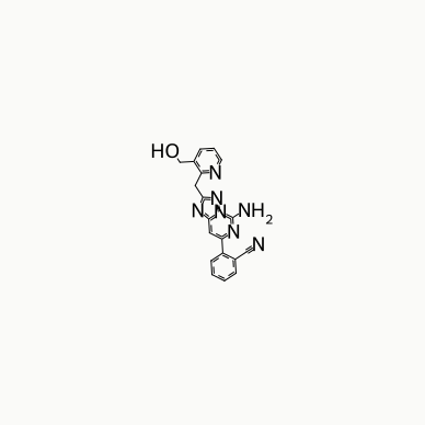 N#Cc1ccccc1-c1cc2nc(Cc3ncccc3CO)nn2c(N)n1